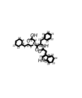 O=C(O)CN(CCCC1CCCCC1)C(=O)C(Cc1ccccc1)NC(=O)Cc1c[nH]c2ccccc12